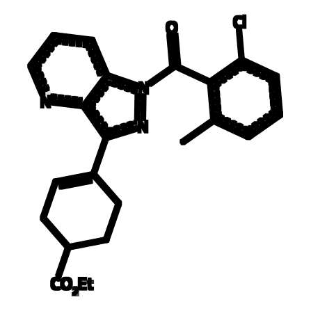 CCOC(=O)C1CC=C(c2nn(C(=O)c3c(C)cccc3Cl)c3cccnc23)CC1